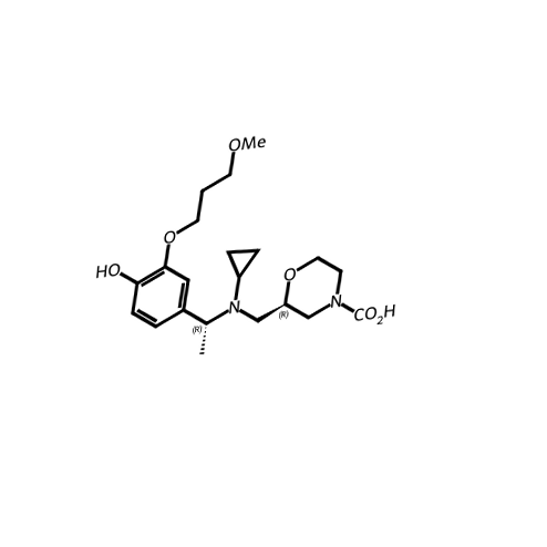 COCCCOc1cc([C@@H](C)N(C[C@@H]2CN(C(=O)O)CCO2)C2CC2)ccc1O